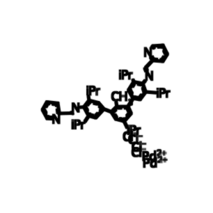 Cc1c(-c2cc(C(C)C)c(N=Cc3ccccn3)c(C(C)C)c2)cc(C(C)C)cc1-c1cc(C(C)C)c(N=Cc2ccccn2)c(C(C)C)c1.[Cl-].[Cl-].[Cl-].[Cl-].[Pd+2].[Pd+2]